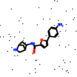 Nc1ccc(-c2ccc(C(=O)NC3CC4CC3CN4)o2)cc1